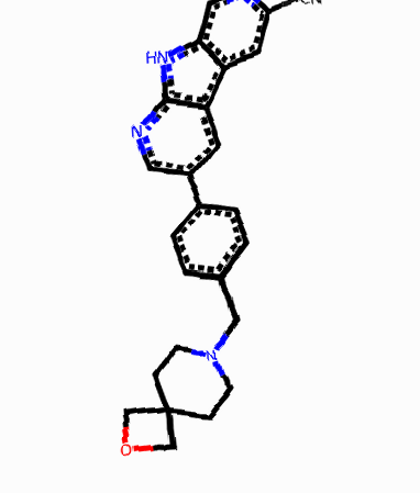 N#Cc1cc2c(cn1)[nH]c1ncc(-c3ccc(CN4CCC5(CC4)COC5)cc3)cc12